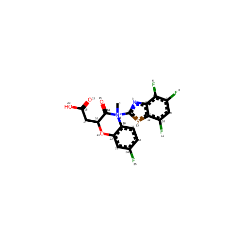 C[N+]1(c2nc3c(F)c(F)cc(F)c3s2)C(=O)C(CC(=O)O)Oc2cc(F)ccc21